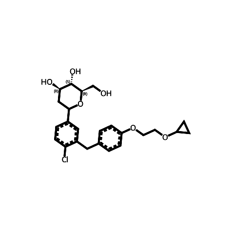 OC[C@H]1OC(c2ccc(Cl)c(Cc3ccc(OCCOC4CC4)cc3)c2)C[C@@H](O)[C@@H]1O